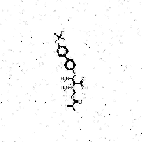 CC(C)C(=O)OCN(N)/C(C(=O)O)=C(\N)Sc1ccc(-c2ccc(OC(F)(F)F)cc2)cc1